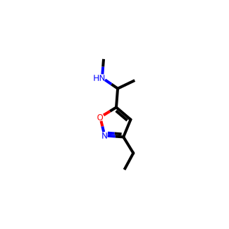 CCc1cc(C(C)NC)on1